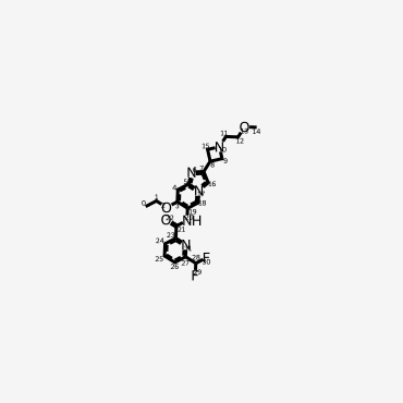 CCOc1cc2nc(C3CN(CCOC)C3)cn2cc1NC(=O)c1cccc(C(F)F)n1